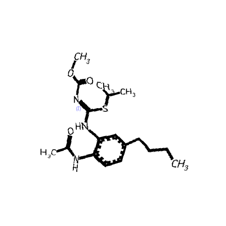 CCCCc1ccc(NC(C)=O)c(N/C(=N/C(=O)OC)SC(C)C)c1